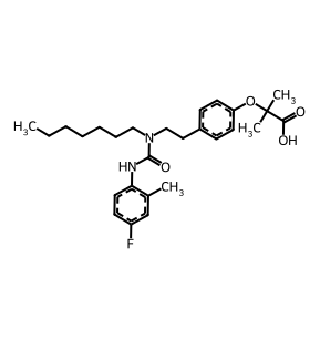 CCCCCCCN(CCc1ccc(OC(C)(C)C(=O)O)cc1)C(=O)Nc1ccc(F)cc1C